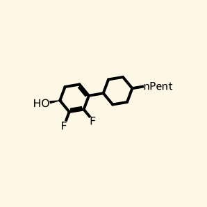 CCCCCC1CCC(C2=CC[C@H](O)C(F)=C2F)CC1